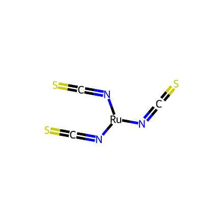 S=C=[N][Ru]([N]=C=S)[N]=C=S